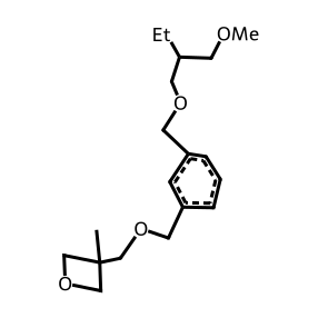 CCC(COC)COCc1cccc(COCC2(C)COC2)c1